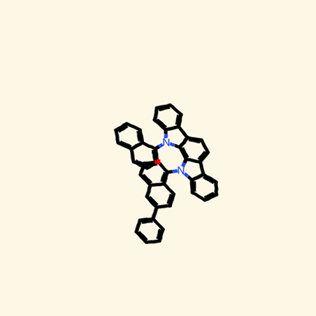 c1ccc(-c2ccc3c(-n4c5ccccc5c5ccc6c7ccccc7n(-c7cccc8ccccc78)c6c54)cccc3c2)cc1